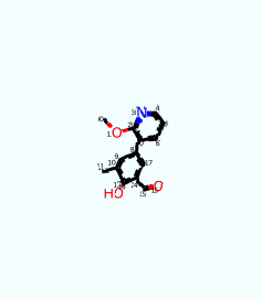 COc1ncccc1-c1cc(C)c(O)c(C=O)c1